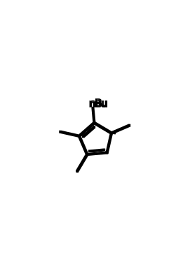 CCCCC1=C(C)C(C)=C[C]1C